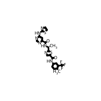 Cc1ccc(NC(=O)c2cnc([C@@H](C)NC(=O)c3cc(Nc4nccs4)ncn3)s2)cc1C(F)(F)F